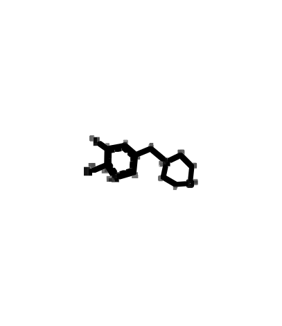 Fc1cc(CN2CCOCC2)cnc1Br